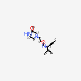 CC#C/C(=N\OCCN1CCNC(=O)C1)C(C)C